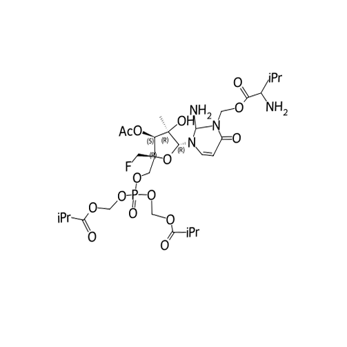 CC(=O)O[C@@H]1[C@@](CF)(COP(=O)(OCOC(=O)C(C)C)OCOC(=O)C(C)C)O[C@@H](N2C=CC(=O)N(COC(=O)C(N)C(C)C)C2N)[C@]1(C)O